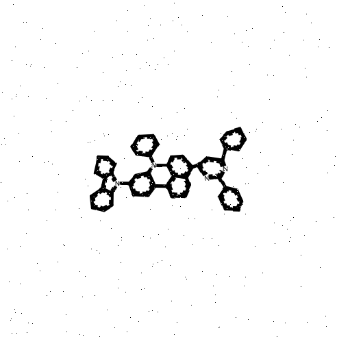 c1ccc(-c2cc(-c3ccc4c5c(cccc35)-c3ccc(-n5c6ccccc6c6ccccc65)cc3N4c3ccccc3)nc(-c3ccccc3)n2)cc1